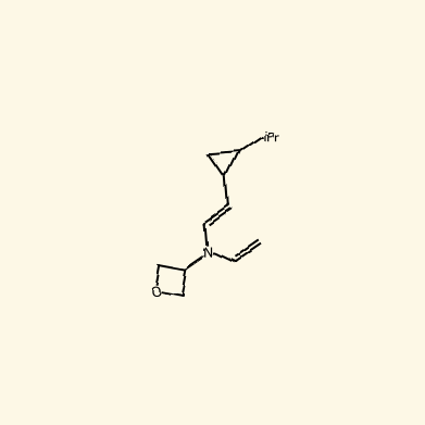 C=CN(/C=C/C1CC1C(C)C)C1COC1